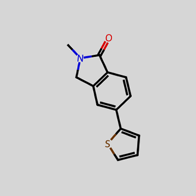 CN1Cc2cc(-c3cccs3)ccc2C1=O